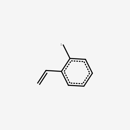 [CH]c1ccccc1C=C